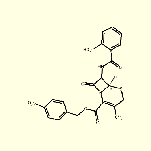 CC1=C(C(=O)OCc2ccc([N+](=O)[O-])cc2)N2C(=O)C(NC(=O)c3ccccc3C(=O)O)[C@H]2SC1